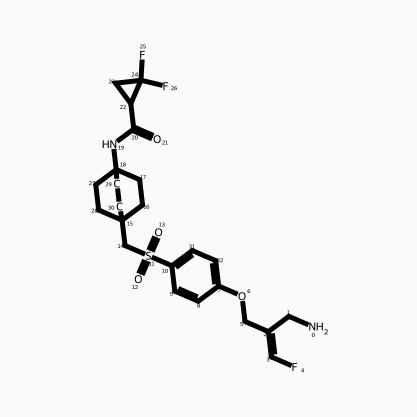 NC/C(=C\F)COc1ccc(S(=O)(=O)CC23CCC(NC(=O)C4CC4(F)F)(CC2)CC3)cc1